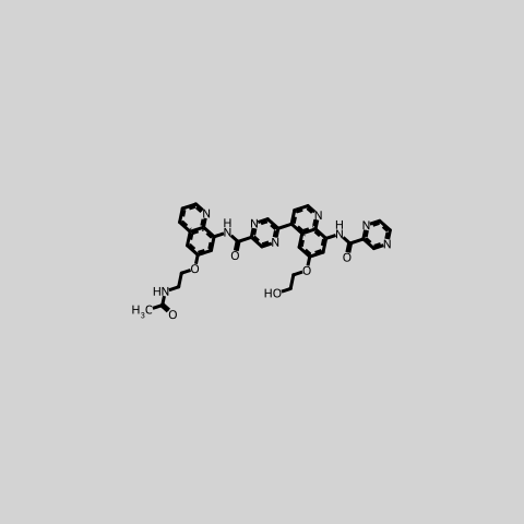 CC(=O)NCCOc1cc(NC(=O)c2cnc(-c3ccnc4c(NC(=O)c5cnccn5)cc(OCCO)cc34)cn2)c2ncccc2c1